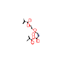 C=C(C)C(=O)OCCOC(=O)/C=C\C(=O)OC(=O)C(=C)C